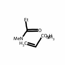 C=CC(=O)O.CCC(=O)NC.N